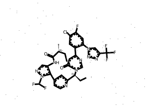 CC[C@@H](C)C(=O)Nc1cnn(C(F)F)c1-c1ccnc([C@H](CC)n2cnc(-c3cc(Cl)c(F)cc3-n3cc(C(F)(F)F)nn3)cc2=O)c1